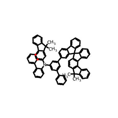 CC1(C)c2ccccc2-c2ccc(N(c3cc(-c4ccccc4)cc(-c4ccc5c(c4)C4(c6ccccc6-5)c5ccccc5-c5c4ccc4c5-c5ccccc5C4(C)C)c3)c3ccccc3-c3ccccc3)cc21